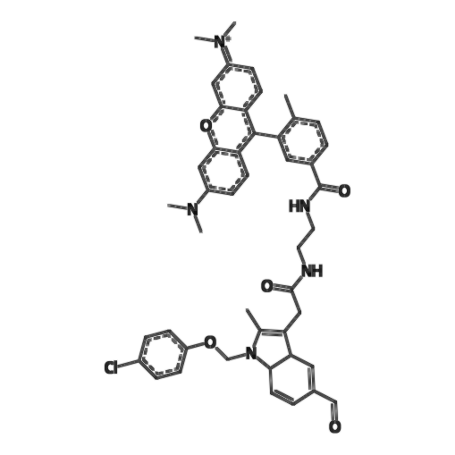 CC1=C(CC(=O)NCCNC(=O)c2ccc(C)c(-c3c4ccc(=[N+](C)C)cc-4oc4cc(N(C)C)ccc34)c2)C2C=C(C=O)C=CC2N1COc1ccc(Cl)cc1